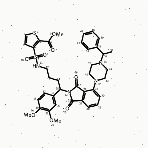 COC(=O)c1sccc1S(=O)(=O)NCCCC(c1ccc(OC)c(OC)c1)N1C(=O)c2cccc(N3CCN(C(C)c4ccccc4)CC3)c2C1=O